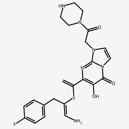 C=C(S/C(=C\N)Cc1ccc(F)cc1)c1nc2n(CC(=O)N3CCNCC3)ccn2c(=O)c1O